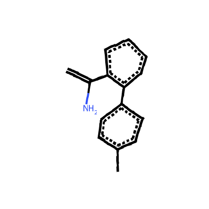 C=C(N)c1ccccc1-c1ccc(C)cc1